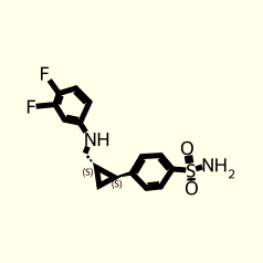 NS(=O)(=O)c1ccc([C@H]2C[C@@H]2CNc2ccc(F)c(F)c2)cc1